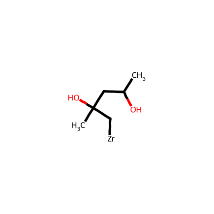 CC(O)CC(C)(O)[CH2][Zr]